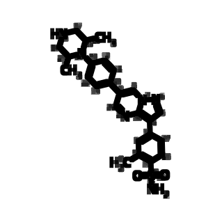 Cc1cc(-c2cnn3cc(-c4ccc(N5C(C)CNCC5C)cc4)cnc23)ccc1S(N)(=O)=O